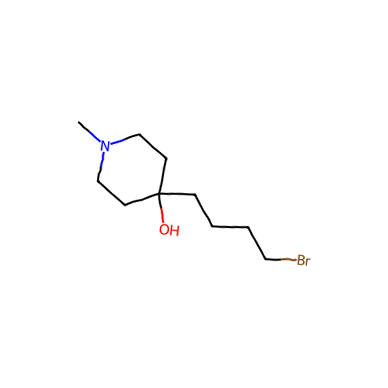 CN1CCC(O)(CCCCBr)CC1